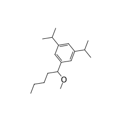 CCCCC(OC)c1cc(C(C)C)cc(C(C)C)c1